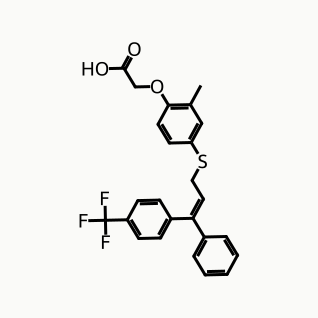 Cc1cc(SCC=C(c2ccccc2)c2ccc(C(F)(F)F)cc2)ccc1OCC(=O)O